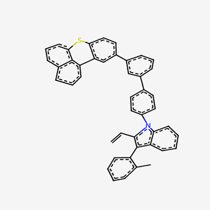 C=Cc1c(-c2ccccc2C)c2ccccc2n1-c1ccc(-c2cccc(-c3ccc4c(c3)-c3cccc5cccc(c35)S4)c2)cc1